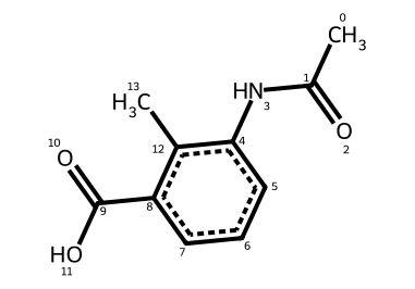 CC(=O)Nc1cccc(C(=O)O)c1C